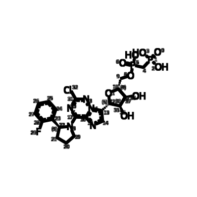 O=P(O)(O)CP(=O)(O)OC[C@H]1O[C@@H](c2cnc3c(N4CCC[C@H]4c4ccccc4F)nc(Cl)nn23)[C@H](O)[C@@H]1O